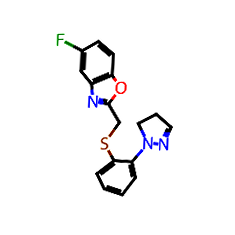 Fc1ccc2oc(CSc3ccccc3N3CCC=N3)nc2c1